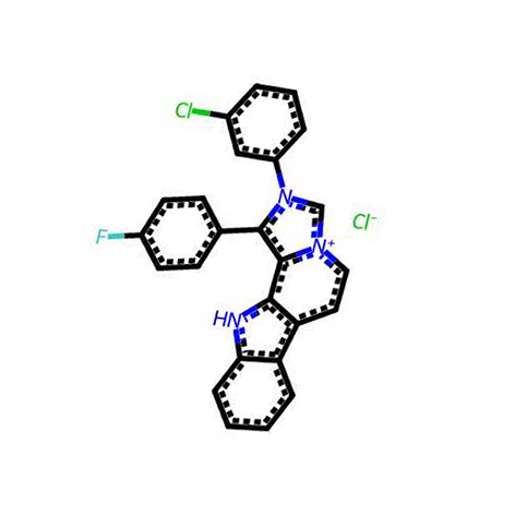 Fc1ccc(-c2c3c4[nH]c5ccccc5c4cc[n+]3cn2-c2cccc(Cl)c2)cc1.[Cl-]